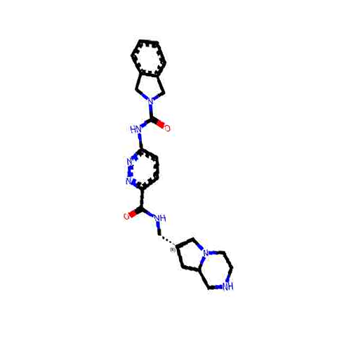 O=C(NC[C@H]1CC2CNCCN2C1)c1ccc(NC(=O)N2Cc3ccccc3C2)nn1